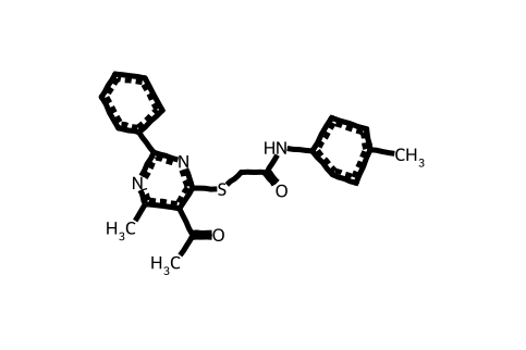 CC(=O)c1c(C)nc(-c2ccccc2)nc1SCC(=O)Nc1ccc(C)cc1